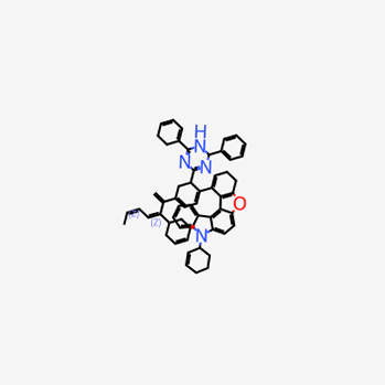 C=C(C1=CC=C(C2=CCCc3oc4ccc5c(c6ccccc6n5C5C=CCCC5)c4c32)C(C2=NC(c3ccccc3)NC(C3=CC=CCC3)=N2)C1)/C(=C\C=C/C)C1CC=CCC1